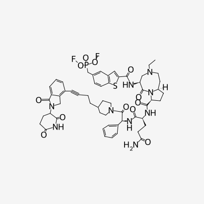 CCN1CC[C@H]2CC[C@@H](C(=O)N[C@@H](CCC(N)=O)C(=O)N[C@H](C(=O)N3CCC(CCC#Cc4cccc5c4CN(C4CCC(=O)NC4=O)C5=O)CC3)c3ccccc3)N2C(=O)[C@@H](NC(=O)c2cc3cc(CP(=O)(OF)OF)ccc3s2)C1